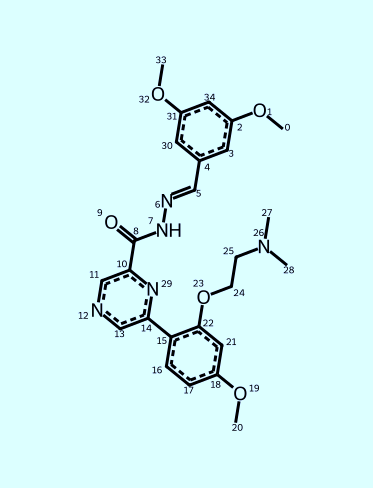 COc1cc(C=NNC(=O)c2cncc(-c3ccc(OC)cc3OCCN(C)C)n2)cc(OC)c1